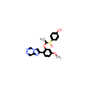 COc1ccc(-c2cn3cnncc3n2)c(OC(C)[S+]([O-])c2ccc(O)cc2)c1